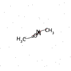 CCCCCCCCCc1ccc(COc2ccc(-c3ncc(CCCCCCCC)cn3)cc2)cc1